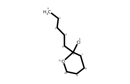 CCCCCC1(Cl)CCCCO1